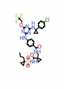 CCCC1(S(=O)(=O)NC(=O)C2(CNC(=O)c3ccc(Nc4nc(NC5(c6ccc(Cl)cc6)CC5)nc(OCC(F)(F)F)n4)cc3)CC2)CC1